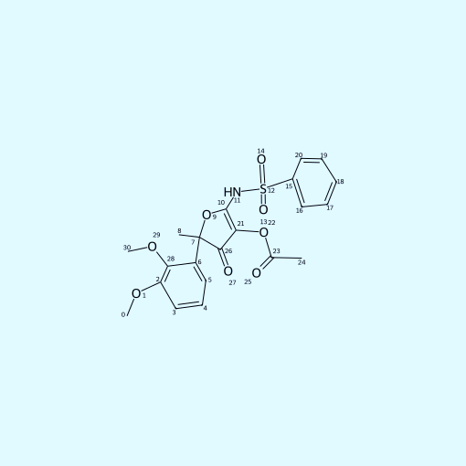 COc1cccc(C2(C)OC(NS(=O)(=O)c3ccccc3)=C(OC(C)=O)C2=O)c1OC